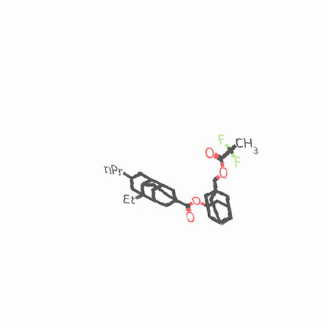 CCCC1CC2C3CC4CC(C(=O)OC56CC7CC(CC(COC(=O)C(C)(F)F)(C7)C5)C6)(C3)CC2C4(CC)C1